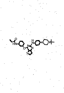 C=CC(=O)Nc1cccc(Oc2nc(Nc3ccc(N4CCN(C(C)(C)C)CC4)cc3)nc3ccsc23)c1